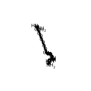 Nc1nc2cc(-c3nn(Cc4ccc5c(c4)CCN(C(=O)CCOCCOCCOCCOCCOCCOCCNC(=O)C4(N)CCNCC4)C5)c4ncnc(N)c34)ccc2o1